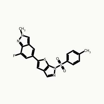 Cc1ccc(S(=O)(=O)n2ncc3cc(-c4cc(F)c5nn(C)cc5c4)sc32)cc1